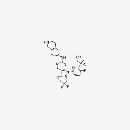 O=c1c2cnc(Nc3ccc4c(c3)CCNC4)nc2n(-c2ccc(F)c(C3(CO)CC3)n2)n1CC(F)(F)F